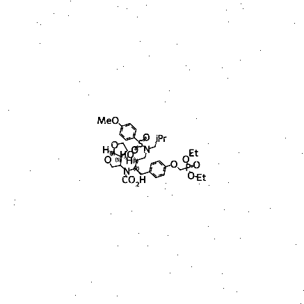 CCOP(=O)(COc1ccc(C[C@H]([C@H](O)CN(CC(C)C)S(=O)(=O)c2ccc(OC)cc2)N(C(=O)O)C2CO[C@H]3OCC[C@@H]23)cc1)OCC